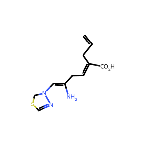 C=CCC(=CCC(N)=CN1CSC=N1)C(=O)O